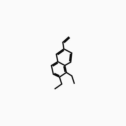 C=Cc1ccc2c(CC)c(CC)ccc2c1